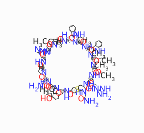 CCCC[C@H]1C(=O)N(C)[C@@H](COCC)C(=O)N[C@@H](CCCNC(=N)N)C(=O)NC(C(=O)NCC(N)=O)CSCC(=O)N[C@@H](Cc2ccc(O)cc2)C(=O)N(C)[C@@H](C)C(=O)N[C@@H](CC(N)=O)C(=O)N2CCC[C@H]2C(=O)N[C@@H](Cc2cnc[nH]2)C(=O)N[C@@H](CC(C)C)C(=O)N2CCC[C@H]2C(=O)N[C@@H](Cc2c[nH]c3ccccc23)C(=O)N[C@@H](C)C(=O)N[C@@H](Cc2c[nH]c3ccccc23)C(=O)N1C